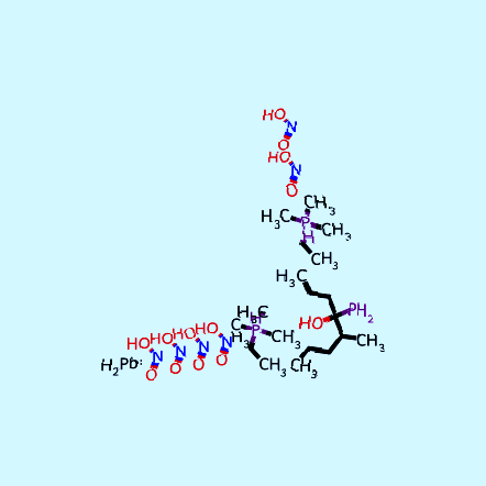 CCCC(C)C(O)(P)CCC.CC[PH](C)(C)C.CC[PH](C)(C)C.O=NO.O=NO.O=NO.O=NO.O=NO.O=NO.[PbH2]